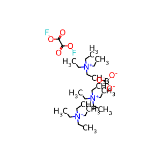 CC[N+](CC)(CC)CC.CC[N+](CC)(CC)CC.CC[N+](CC)(CC)CC.O=C(OF)C(=O)OF.[O-]B([O-])[O-]